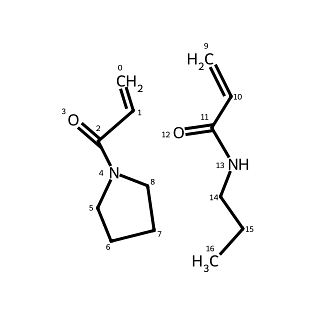 C=CC(=O)N1CCCC1.C=CC(=O)NCCC